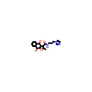 Cc1oc2c(c1C(=O)NCCCn1ccnc1)C(=O)c1ccccc1C2=O